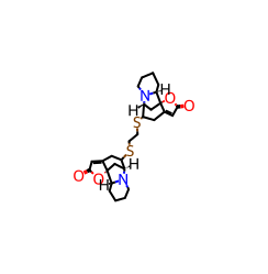 O=C1C=C2CC(SCCSC3CC4=CC(=O)O[C@]45C[C@H]3N3CCCC[C@H]35)[C@@H]3C[C@@]2(O1)[C@H]1CCCCN31